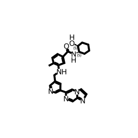 Cc1ccc(C(=O)N[C@H]2CCCC[C@@H]2O)cc1NCc1cncc(-c2cn3ccnc3cn2)c1